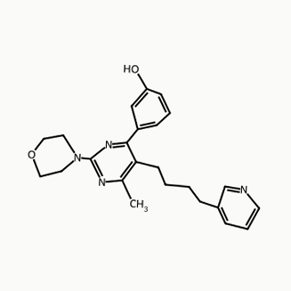 Cc1nc(N2CCOCC2)nc(-c2cccc(O)c2)c1CCCCc1cccnc1